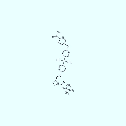 CC(=O)c1ncc(Oc2ccc(C(C)(C)c3ccc(OC[C@@H]4CCN4C(=O)OC(C)(C)C)cc3)cc2)cn1